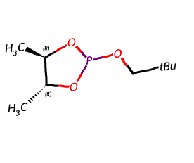 C[C@H]1OP(OCC(C)(C)C)O[C@@H]1C